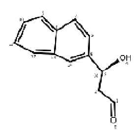 O=CC[C@H](O)c1ccc2ccccc2c1